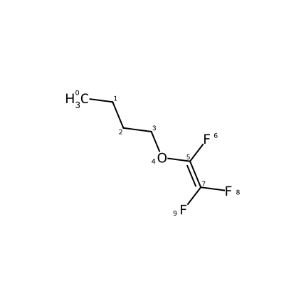 CCCCOC(F)=C(F)F